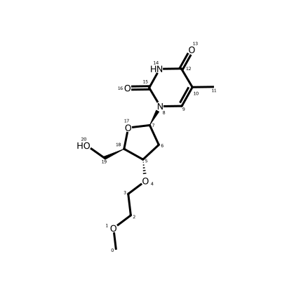 COCCO[C@H]1C[C@H](n2cc(C)c(=O)[nH]c2=O)O[C@@H]1CO